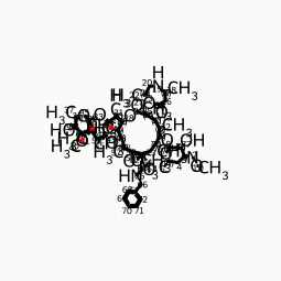 CON=C1C[C@@H](C)O[C@@H](O[C@@H]2[C@@H](C)[C@H](O[C@H]3C[C@@H](C)NC[C@H](C)O3)[C@@H](C)C(=O)O[C@H]([C@@H](C)CO[C@@H]3O[C@H](C)[C@@H](O)[C@@H](OC)[C@H]3OC)[C@H](C)[C@@H](OC(=O)CC(C)C)[C@@H](C)C(=O)[C@@](C)(OC(=O)NCc3ccccc3)C[C@@H]2C)[C@@H]1O